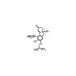 CCCC12CCC(=O)C=C1c1c(cc(OCC(=N)N)c(Cl)c1Cl)C2.Cl.O